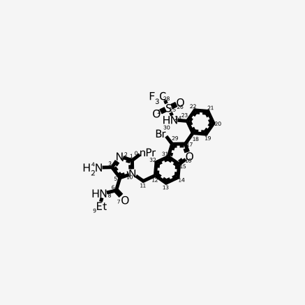 CCCc1nc(N)c(C(=O)NCC)n1Cc1ccc2oc(-c3ccccc3NS(=O)(=O)C(F)(F)F)c(Br)c2c1